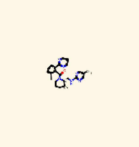 Cc1cccc(-c2ncccn2)c1C(=O)N1CCC[C@@H](C)[C@H]1CNc1ncc(C(F)(F)F)cn1